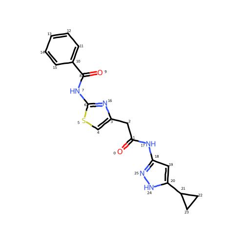 O=C(Cc1csc(NC(=O)c2ccccc2)n1)Nc1cc(C2CC2)[nH]n1